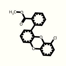 COC(=O)c1ccccc1-c1cccc2c1Oc1c(Cl)cccc1O2